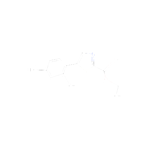 CCOC(=O)c1ncc(-c2ccc(C)cc2C)s1